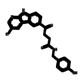 O=C(CCC(=O)c1ccc2[nH]c3ncc(Cl)cc3c2c1)NCc1ccc(O)cc1